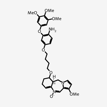 COc1cc(Oc2cc(OCCCCOC3CCC=C4[C@@H]3Cn3ccc(OC)c3C=[N+]4[O-])ccc2N)cc(OC)c1OC